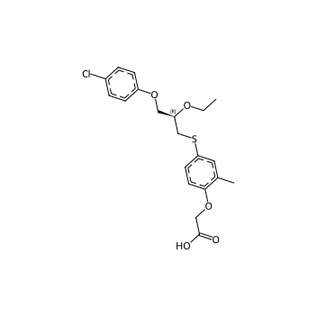 CCO[C@H](COc1ccc(Cl)cc1)CSc1ccc(OCC(=O)O)c(C)c1